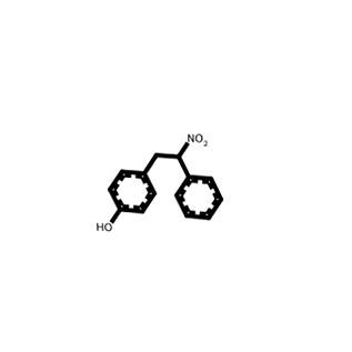 O=[N+]([O-])[C](Cc1ccc(O)cc1)c1ccccc1